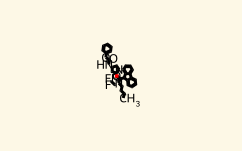 CCCCN(CC(F)(F)F)C(=O)C1c2ccccc2-c2cccc(N3CCC(NC(=O)Oc4ccccc4)C3)c21